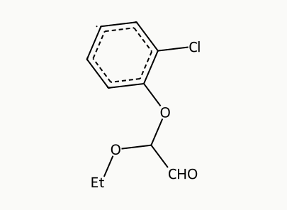 CCOC(C=O)Oc1cc[c]cc1Cl